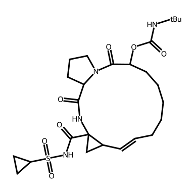 CC(C)(C)NC(=O)OC1CCCCC/C=C/C2CC2(C(=O)NS(=O)(=O)C2CC2)NC(=O)C2CCCN2C1=O